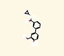 O=Cc1cc(-c2cccc(C(=O)NC3CC3)c2)ccc1O